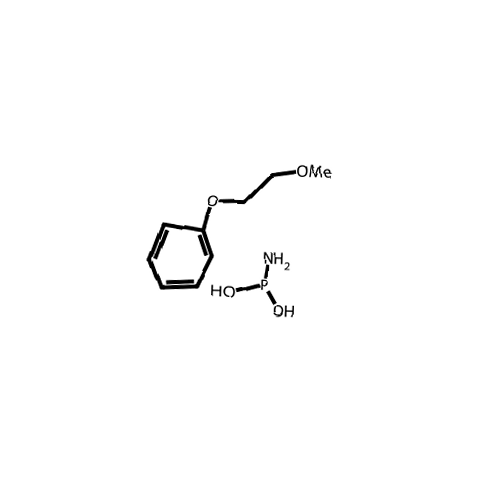 COCCOc1ccccc1.NP(O)O